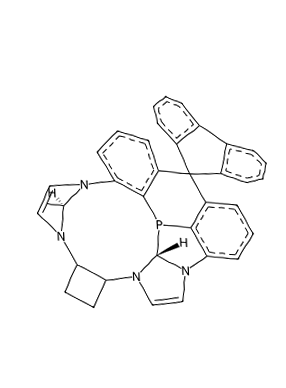 C[C@H]1N2C=CN1C1CCC1N1C=CN3c4cccc5c4P(c4c2cccc4C52c4ccccc4-c4ccccc42)[C@H]31